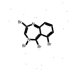 BrC1=CN(Br)C(Br)=c2c(Br)cccc2=N1